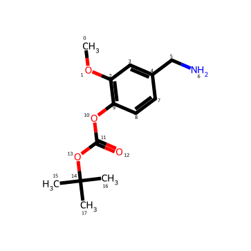 COc1cc(CN)ccc1OC(=O)OC(C)(C)C